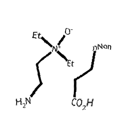 CCCCCCCCCCCC(=O)O.CC[N+]([O-])(CC)CCN